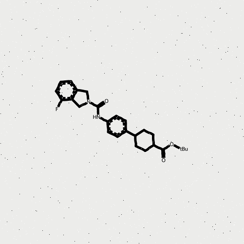 CC(C)(C)OC(=O)C1CCC(c2ccc(NC(=O)N3Cc4cccc(F)c4C3)cc2)CC1